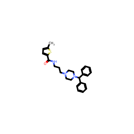 Cc1ccc(C(=O)NCCCN2CCN(C(c3ccccc3)c3ccccc3)CC2)s1